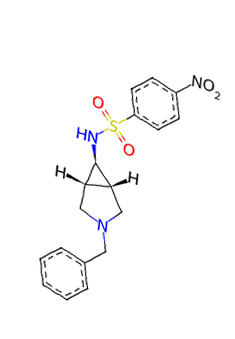 O=[N+]([O-])c1ccc(S(=O)(=O)N[C@H]2[C@@H]3CN(Cc4ccccc4)C[C@@H]32)cc1